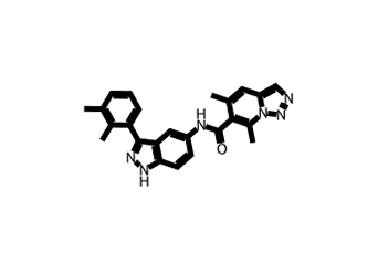 Cc1cccc(-c2n[nH]c3ccc(NC(=O)c4c(C)cc5cnnn5c4C)cc23)c1C